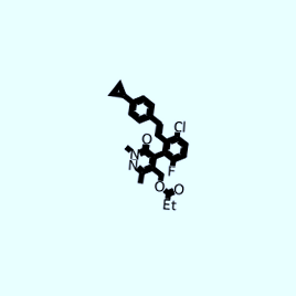 CCC(=O)OCc1c(C)nn(C)c(=O)c1-c1c(F)ccc(Cl)c1/C=C/c1ccc(C2CC2)cc1